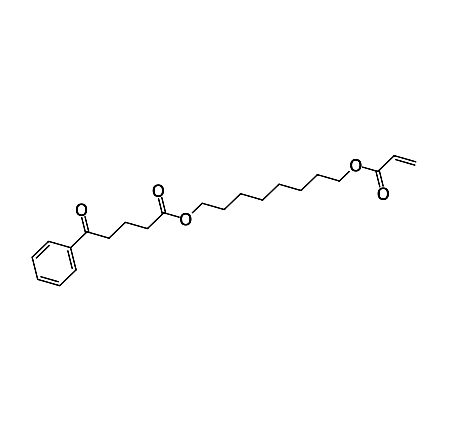 C=CC(=O)OCCCCCCCCOC(=O)CCCC(=O)c1ccccc1